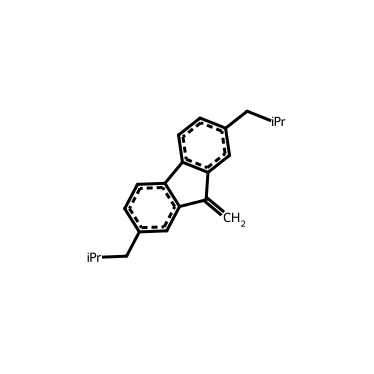 C=C1c2cc(CC(C)C)ccc2-c2ccc(CC(C)C)cc21